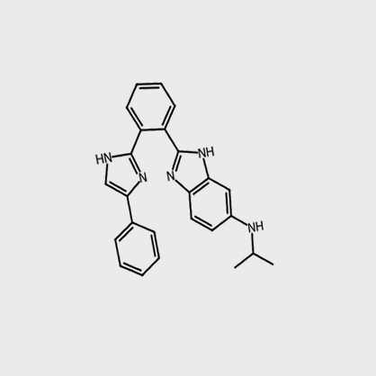 CC(C)Nc1ccc2nc(-c3ccccc3-c3nc(-c4ccccc4)c[nH]3)[nH]c2c1